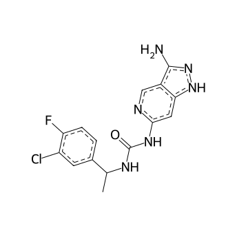 CC(NC(=O)Nc1cc2[nH]nc(N)c2cn1)c1ccc(F)c(Cl)c1